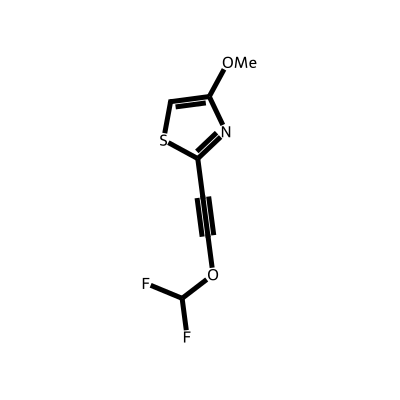 COc1csc(C#COC(F)F)n1